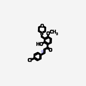 COc1ccc(C(=O)/C=C/c2ccc(Cl)cc2)c(O)c1CN1CCOCC1